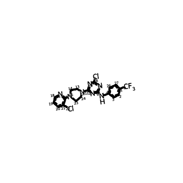 FC(F)(F)c1ccc(Nc2nc(Cl)nc(N3CCN(c4ncccc4Cl)CC3)n2)cc1